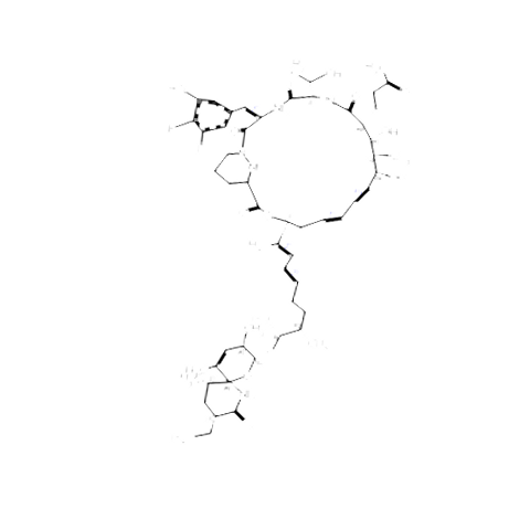 CC[C@H]1C[C@H](C)[C@@]2(NC1=O)O[C@@H](C[C@H](O)[C@@H](C)CC/C=C/C=C(\C)[C@@H]1C/C=C/C=C/[C@H](O)[C@H](C)[C@@H](O)[C@@H](CCC(C)=O)C(=O)N[C@@H](C(C)C)C(=O)N/C(=C/c3cc(O)c(F)c(F)c3)C(=O)N3CCCC(N3)C(=O)O1)[C@H](C)C=C2C